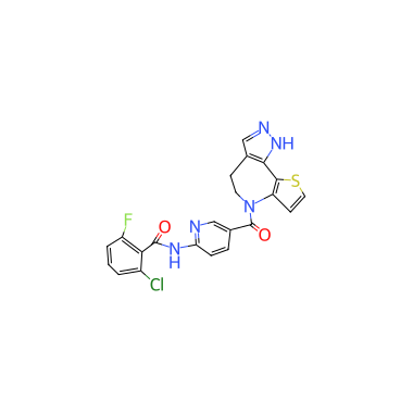 O=C(Nc1ccc(C(=O)N2CCc3cn[nH]c3-c3sccc32)cn1)c1c(F)cccc1Cl